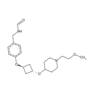 COCCN1CCC(O[C@H]2C[C@H](Oc3ccc(CNC=O)cc3)C2)CC1